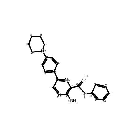 Nc1ncc(-c2ccc(N3CCCCC3)cc2)nc1C(=O)Nc1ccccc1